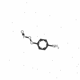 Nc1ccc(OOP=O)cc1